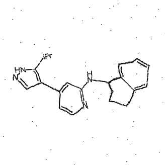 CC(C)c1[nH]ncc1-c1ccnc(NC2CCc3ccccc32)c1